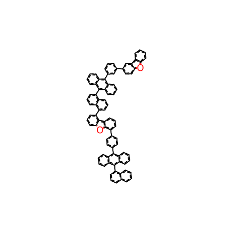 c1cc(-c2ccc3oc4ccccc4c3c2)cc(-c2c3ccccc3c(-c3cccc4c(-c5cccc6oc7c(-c8ccc(-c9c%10ccccc%10c(-c%10cccc%11ccccc%10%11)c%10ccccc9%10)cc8)cccc7c56)cccc34)c3ccccc23)c1